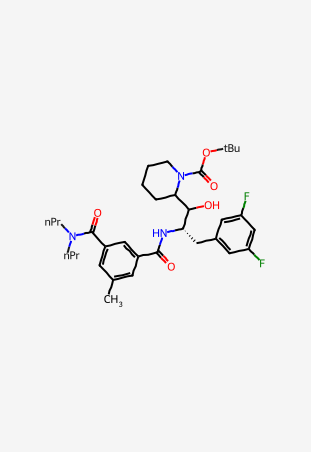 CCCN(CCC)C(=O)c1cc(C)cc(C(=O)N[C@@H](Cc2cc(F)cc(F)c2)C(O)C2CCCCN2C(=O)OC(C)(C)C)c1